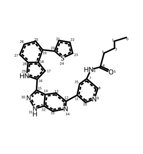 CCCCC(=O)Nc1cncc(-c2cc3c(-c4cc5c(-c6cccs6)cccc5[nH]4)n[nH]c3cn2)c1